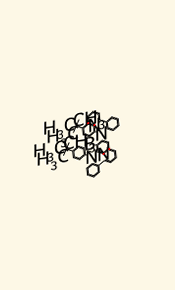 CC(C)(C)c1ccc2c(c1)B1c3cc(C(C)(C)C)ccc3N(c3ccccc3-c3ccccn3)c3cccc(c31)N2c1ccccc1-c1ccccn1